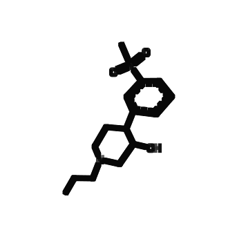 CCCN1CCC(c2cccc(S(C)(=O)=O)c2)C(O)C1